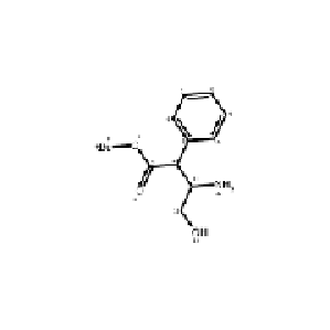 CC(C)(C)OC(=O)C(c1ccccc1)C(N)CO